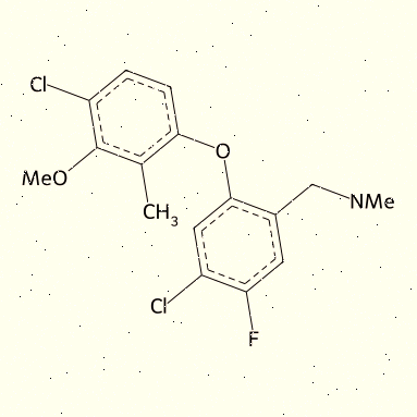 CNCc1cc(F)c(Cl)cc1Oc1ccc(Cl)c(OC)c1C